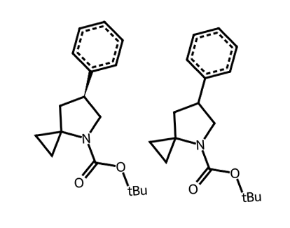 CC(C)(C)OC(=O)N1CC(c2ccccc2)CC12CC2.CC(C)(C)OC(=O)N1C[C@H](c2ccccc2)CC12CC2